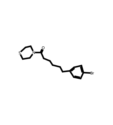 O=C(CCCCCc1ccc(Br)cc1)N1CCSCC1